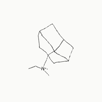 C[N+](C)C12CC3CC(CC(C3)C1)C2